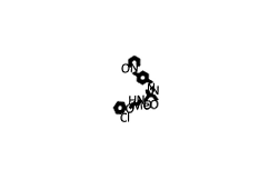 COCc1nn(Cc2ccc(Cn3ccccc3=O)cc2)cc1C(=O)NCCOc1ccccc1Cl